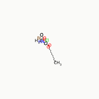 CCCCCCCCCCCCOC(=O)c1ccc(NC(=O)C(C)(Br)C(=O)c2ccccc2)c(Cl)c1